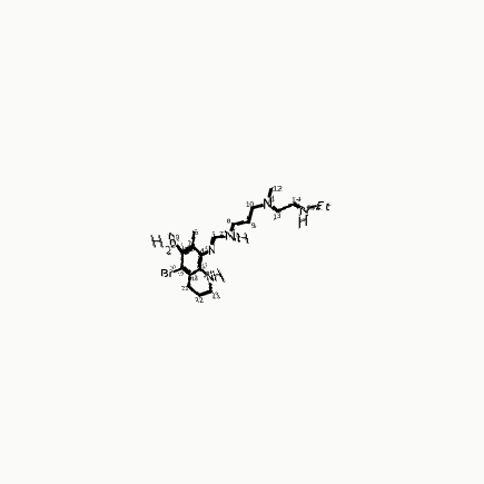 Bc1c(C)c(/N=C/NCCCN(C)CCNCC)c2c(c1Br)CCCN2